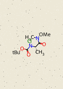 CON(C)C(=O)[C@H](C)N(Cl)C(=O)OC(C)(C)C